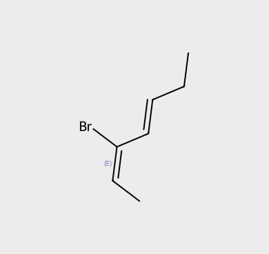 C/C=C(/Br)C=CCC